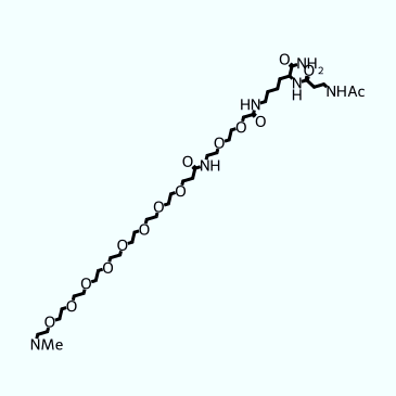 CNCCOCCOCCOCCOCCOCCOCCOCCOCCC(=O)NCCOCCOCC(=O)NCCCCC(NC(=O)CCNC(C)=O)C(N)=O